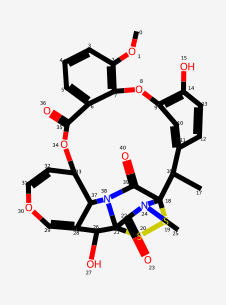 COc1cccc2c1Oc1cc(ccc1O)C(C)C13SSC4(C(=O)N1C)C(O)C1=COC=CC(OC2=O)C1N4C3=O